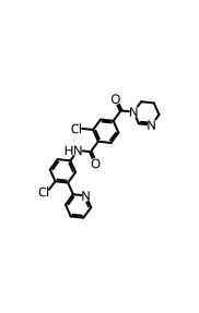 O=C(Nc1ccc(Cl)c(-c2ccccn2)c1)c1ccc(C(=O)N2C=NCCC2)cc1Cl